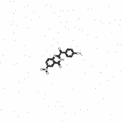 Cc1ccc(C(=O)c2nc3ccc([N+](=O)[O-])cc3c(=O)[nH]2)cc1